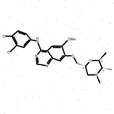 COc1cc2c(Nc3ccc(Cl)c(Cl)c3)ncnc2cc1OC[C@H]1CN(C)[C@@H](C)[C@H](C)O1